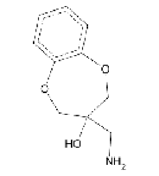 NCC1(O)COc2ccccc2OC1